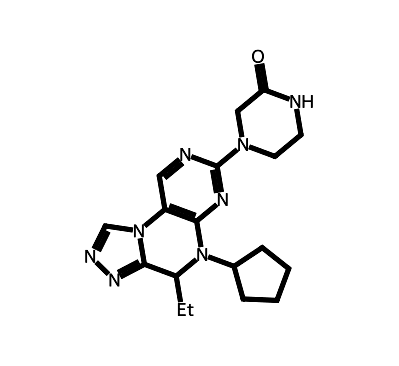 CCC1c2nncn2-c2cnc(N3CCNC(=O)C3)nc2N1C1CCCC1